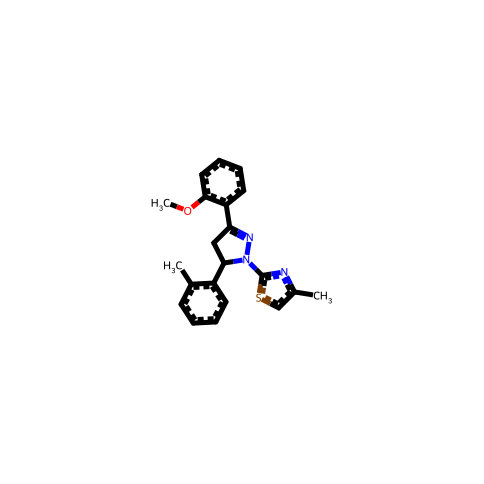 COc1ccccc1C1=NN(c2nc(C)cs2)C(c2ccccc2C)C1